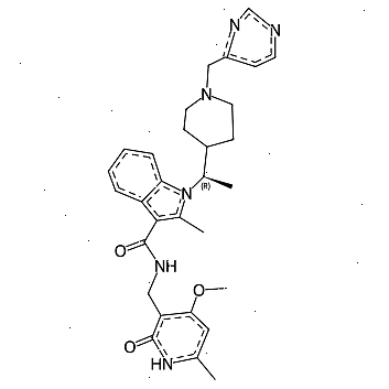 COc1cc(C)[nH]c(=O)c1CNC(=O)c1c(C)n([C@H](C)C2CCN(Cc3ccncn3)CC2)c2ccccc12